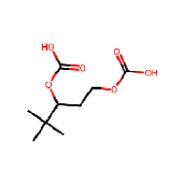 CC(C)(C)C(CCOC(=O)O)OC(=O)O